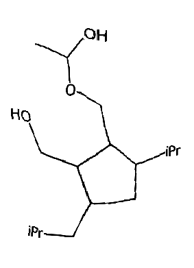 CC(C)CC1CC(C(C)C)C(COC(C)O)C1CO